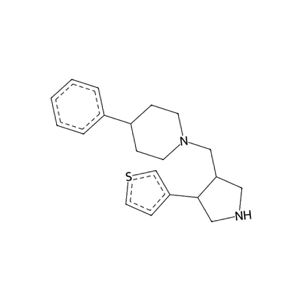 c1ccc(C2CCN(CC3CNCC3c3ccsc3)CC2)cc1